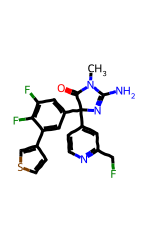 CN1C(=O)C(c2ccnc(CF)c2)(c2cc(F)c(F)c(-c3ccsc3)c2)N=C1N